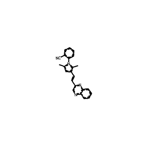 Cc1cc(C=Cc2cnc3ccccc3n2)c(C)n1-c1ccccc1C#N